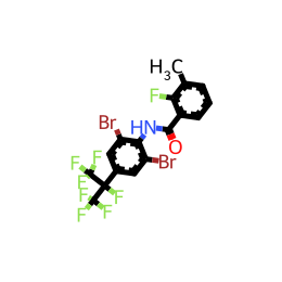 Cc1cccc(C(=O)Nc2c(Br)cc(C(F)(C(F)(F)F)C(F)(F)F)cc2Br)c1F